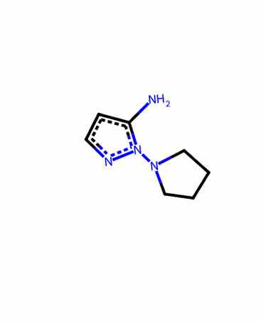 Nc1ccnn1N1CCCC1